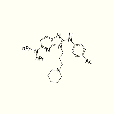 CCCN(CCC)c1ccc2nc(Nc3ccc(C(C)=O)cc3)n(CCCN3CCCCC3)c2n1